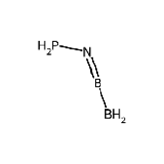 BB=NP